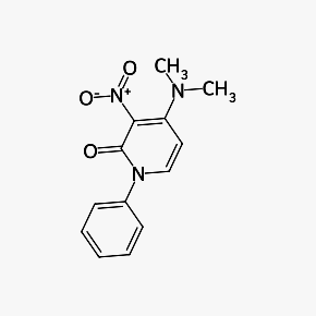 CN(C)c1ccn(-c2ccccc2)c(=O)c1[N+](=O)[O-]